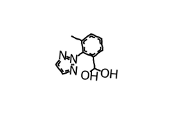 Cc1cccc(C(O)O)c1-n1nccn1